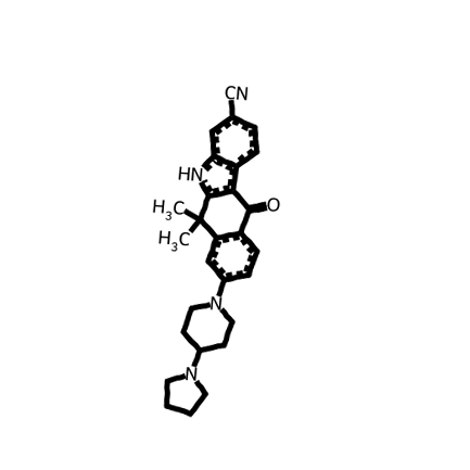 CC1(C)c2cc(N3CCC(N4CCCC4)CC3)ccc2C(=O)c2c1[nH]c1cc(C#N)ccc21